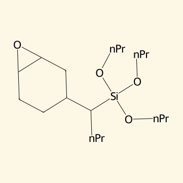 CCCO[Si](OCCC)(OCCC)C(CCC)C1CCC2OC2C1